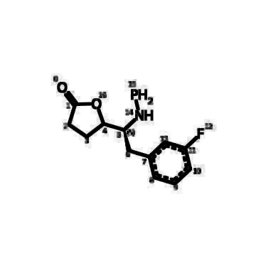 O=C1CCC([C@H](Cc2cccc(F)c2)NP)O1